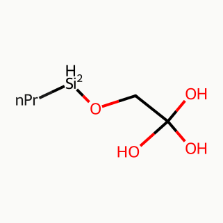 CCC[SiH2]OCC(O)(O)O